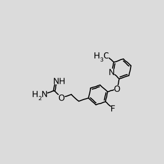 Cc1cccc(Oc2ccc(CCOC(=N)N)cc2F)n1